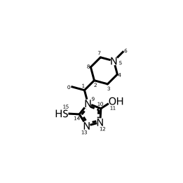 CC(C1CCN(C)CC1)n1c(O)nnc1S